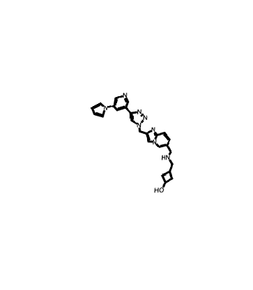 OC1CC(CNCc2ccc3nc(Cn4cc(-c5cncc(-n6cccc6)c5)nn4)cn3c2)C1